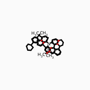 CC(C)(C)c1cc(-c2ccccc2N(c2ccc3c(c2)-c2cc(C4CCCCC4)ccc2C3(C)C)c2ccccc2-c2ccccc2)c2c(C3CCCCC3)cccc2c1